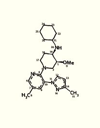 CO[C@H]1CN(c2ncc(C)cc2-n2ccc(C)n2)CC[C@H]1NC1CCCCC1